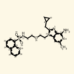 Cc1cc2c(nc(CC3CC3)n2CCOCCNS(=O)(=O)c2cccc3cccnc23)c(N)n1